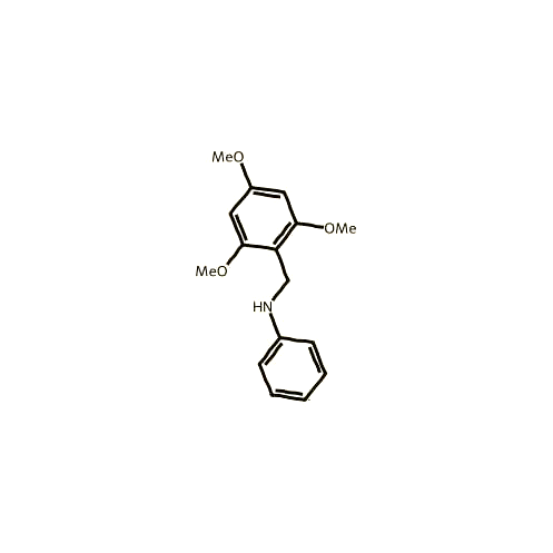 COc1cc(OC)c(CNc2cc[c]cc2)c(OC)c1